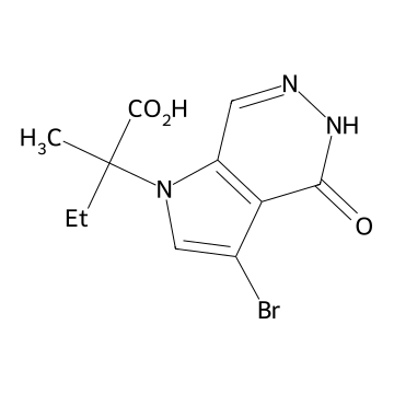 CCC(C)(C(=O)O)n1cc(Br)c2c(=O)[nH]ncc21